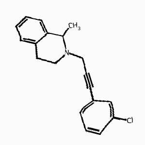 CC1c2ccccc2CCN1CC#Cc1cccc(Cl)c1